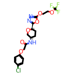 O=C(COc1ccc(Cl)cc1)N[C@H]1CC[C@H](c2nnc(OCCOC(F)(F)F)o2)OC1